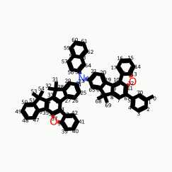 Cc1cccc(-c2cc3c(c4c2oc2ccccc24)-c2ccc(N(c4ccc5c(c4)C(C)(C)c4c6c(c7oc8ccccc8c7c4-5)-c4ccccc4C6(C)C)c4ccc5ccccc5c4)cc2C3(C)C)c1